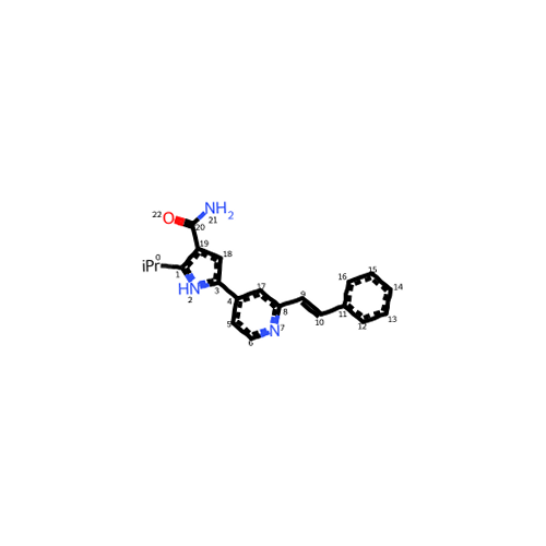 CC(C)c1[nH]c(-c2ccnc(C=Cc3ccccc3)c2)cc1C(N)=O